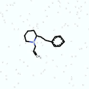 C=CCN1CCCCC1C[CH]c1ccccc1